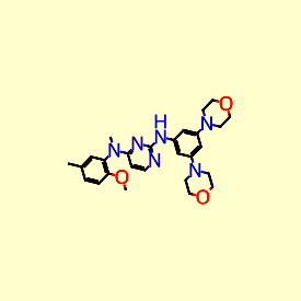 COc1ccc(C)cc1N(C)c1ccnc(Nc2cc(N3CCOCC3)cc(N3CCOCC3)c2)n1